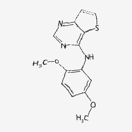 COc1ccc(OC)c(Nc2ncnc3ccsc23)c1